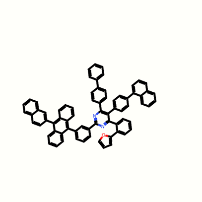 c1ccc(-c2ccc(-c3nc(-c4cccc(-c5c6ccccc6c(-c6ccc7ccccc7c6)c6ccccc56)c4)nc(-c4ccccc4-c4ccco4)c3-c3ccc(-c4cccc5ccccc45)cc3)cc2)cc1